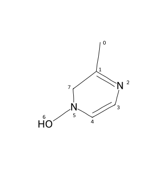 CC1=NC=CN(O)C1